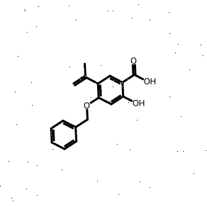 C=C(C)c1cc(C(=O)O)c(O)cc1OCc1ccccc1